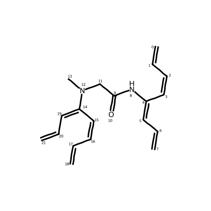 C=C/C=C\C(=C/C=C)NC(=O)CN(C)C(/C=C\C=C)=C/C=C